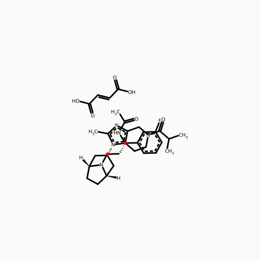 CC(=O)N[C@@H](CCN1[C@@H]2CC[C@H]1C[C@@H](n1c(C)nc3c1CCN(C(=O)C(C)C)C3)C2)c1cccc(F)c1.O=C(O)/C=C/C(=O)O